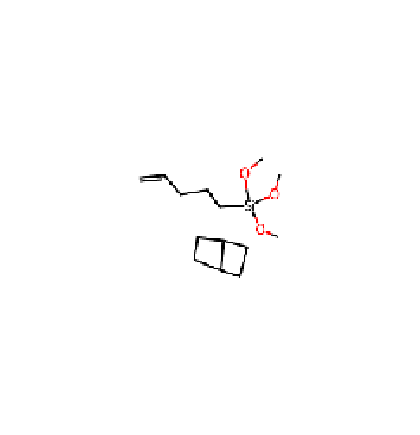 C1CC2CCC12.C=CCCC[Si](OC)(OC)OC